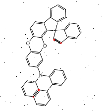 c1ccc(-c2ccccc2N(c2ccccc2)c2ccc3c(c2)Oc2c(ccc4c2C2(c5ccccc5-c5ccccc52)c2ccccc2-4)O3)cc1